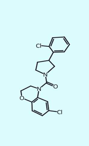 O=C(N1CCC(c2ccccc2Cl)C1)N1CCOc2ccc(Cl)cc21